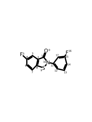 O=c1c2cc(F)ccc2sn1-c1cccc(F)c1